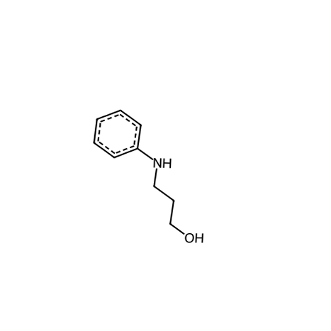 OCCCNc1ccccc1